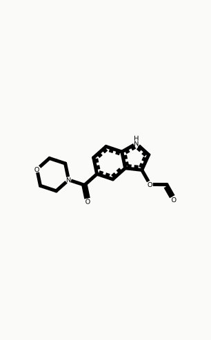 O=COc1c[nH]c2ccc(C(=O)N3CCOCC3)cc12